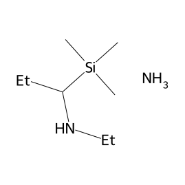 CCNC(CC)[Si](C)(C)C.N